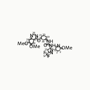 COc1ccc(-n2nc(C(C)(F)F)cc2NC(=O)Nc2cccc(Oc3ncnc4cc(OC)c(OC)cc34)c2)cn1